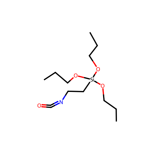 CCCO[Si](CCN=C=O)(OCCC)OCCC